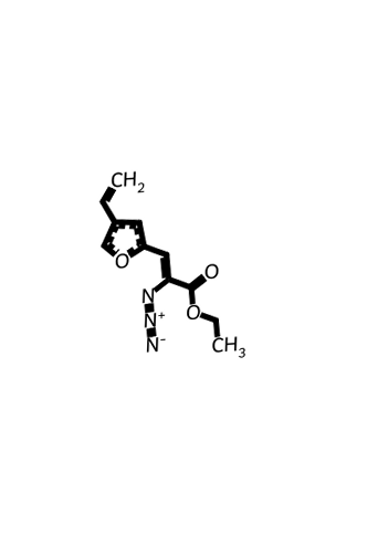 C=Cc1coc(C=C(N=[N+]=[N-])C(=O)OCC)c1